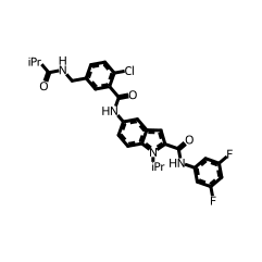 CC(C)C(=O)NCc1ccc(Cl)c(C(=O)Nc2ccc3c(c2)cc(C(=O)Nc2cc(F)cc(F)c2)n3C(C)C)c1